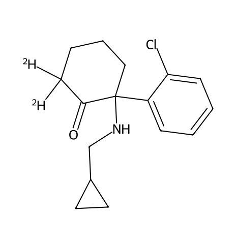 [2H]C1([2H])CCCC(NCC2CC2)(c2ccccc2Cl)C1=O